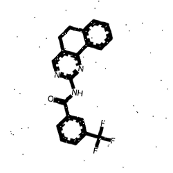 O=C(Nc1ncc2c(n1)-c1ccccc1CC2)c1cccc(C(F)(F)F)c1